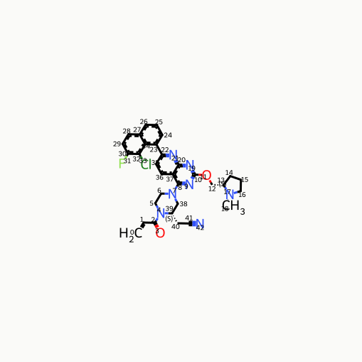 C=CC(=O)N1CCN(c2nc(OC[C@@H]3CCCN3C)nc3nc(-c4cccc5ccc(F)c(Cl)c45)ccc23)C[C@@H]1CC#N